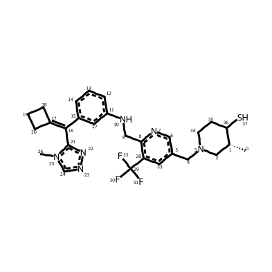 C[C@@H]1CN(Cc2cnc(CNc3cccc(C(=C4CCC4)c4nncn4C)c3)c(C(F)(F)F)c2)CCC1S